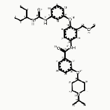 CCC(CC)NC(=O)Nc1cccc(Oc2ccc(NC(=O)c3cccc(OC4CCN(C(C)C)CC4)c3)cc2COC)c1